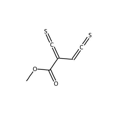 COC(=O)C(=C=S)C=C=S